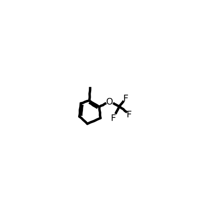 CC1=C(OC(F)(F)F)CCC=C1